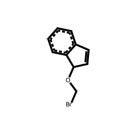 BrCOC1C=Cc2cc[c]cc21